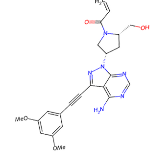 C=CC(=O)N1C[C@@H](n2nc(C#Cc3cc(OC)cc(OC)c3)c3c(N)ncnc32)C[C@H]1CO